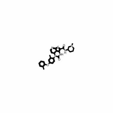 Cc1ccccc1Oc1ccc(N2C(=O)Nc3c(C(=O)NC4CCCN(C)C4)sc4nccc2c34)c(C)c1